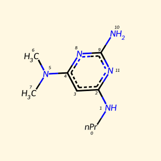 CCCNc1cc(N(C)C)nc(N)n1